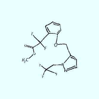 COC(=O)C(F)(F)c1ccccc1OCc1ccnn1CC(F)(F)F